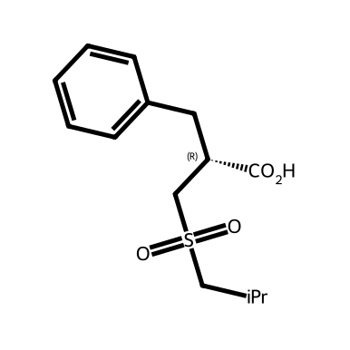 CC(C)CS(=O)(=O)C[C@H](Cc1ccccc1)C(=O)O